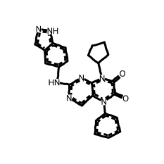 O=c1c(=O)n(C2CCCC2)c2nc(Nc3ccc4[nH]ncc4c3)ncc2n1-c1ccccc1